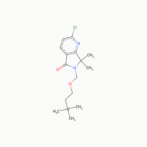 CC1(C)c2nc(Cl)ccc2C(=O)N1COCC[Si](C)(C)C